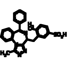 Cc1ccc(S(=O)(=O)O)cc1CC1N=C(c2ccccc2)c2ccccc2-n2c(C)nnc21